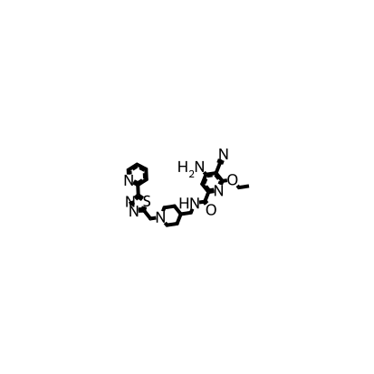 CCOc1nc(C(=O)NCC2CCN(Cc3nnc(-c4ccccn4)s3)CC2)cc(N)c1C#N